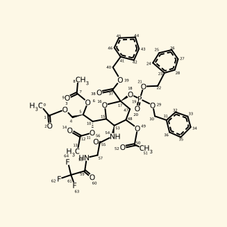 CC(=O)OC[C@@H](OC(C)=O)[C@@H](OC(C)=O)C1O[C@](OP(=O)(OCc2ccccc2)OCc2ccccc2)(C(=O)OCc2ccccc2)CC(OC(C)=O)[C@H]1NC(=O)CNC(=O)C(F)(F)F